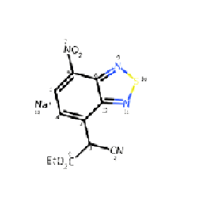 CCOC(=O)C(C#N)c1ccc([N+](=O)[O-])c2nsnc12.[Na+]